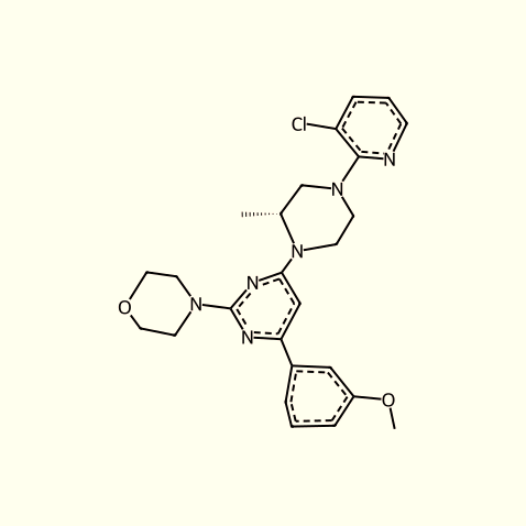 COc1cccc(-c2cc(N3CCN(c4ncccc4Cl)C[C@H]3C)nc(N3CCOCC3)n2)c1